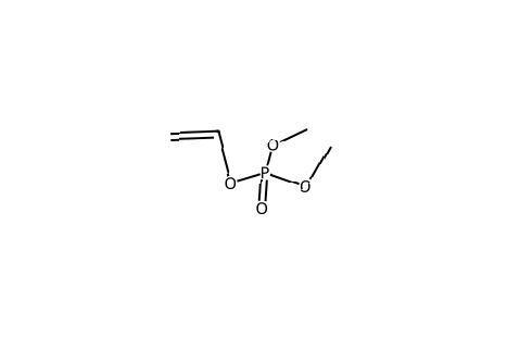 C=COP(=O)(OC)OC